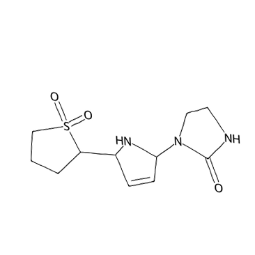 O=C1NCCN1C1C=CC(C2CCCS2(=O)=O)N1